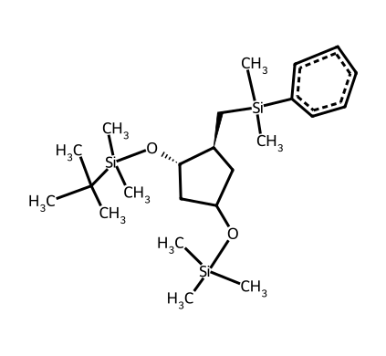 CC(C)(C)[Si](C)(C)O[C@H]1CC(O[Si](C)(C)C)C[C@@H]1C[Si](C)(C)c1ccccc1